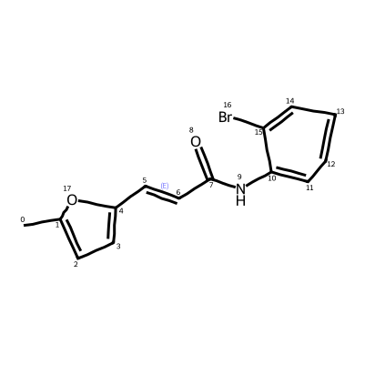 Cc1ccc(/C=C/C(=O)Nc2ccccc2Br)o1